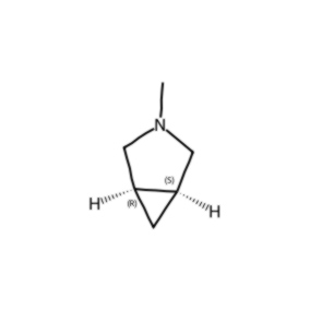 CN1C[C@H]2C[C@H]2C1